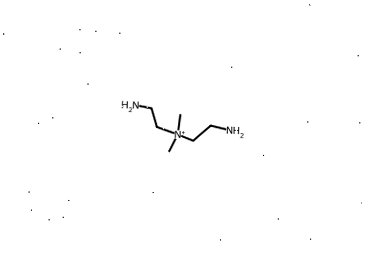 C[N+](C)(CCN)CCN